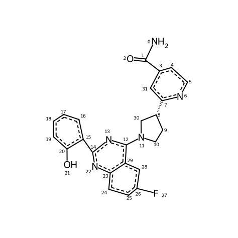 NC(=O)c1ccnc([C@@H]2CCN(c3nc(-c4ccccc4O)nc4ccc(F)cc34)C2)c1